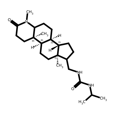 CC(C)NC(=O)NCC1CC[C@H]2[C@@H]3CCC4N(C)C(=O)CC[C@]4(C)[C@@H]3CC[C@]12C